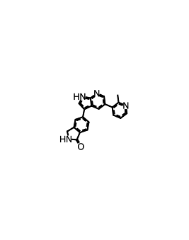 Cc1ncccc1-c1cnc2[nH]cc(-c3ccc4c(c3)CNC4=O)c2c1